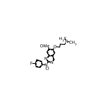 COc1cc2nc(N(Cl)c3ccc(F)cc3)ncc2cc1OCCCN(C)C